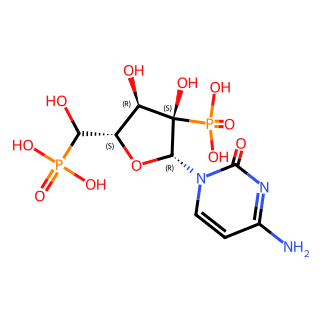 Nc1ccn([C@@H]2O[C@H](C(O)P(=O)(O)O)[C@@H](O)[C@]2(O)P(=O)(O)O)c(=O)n1